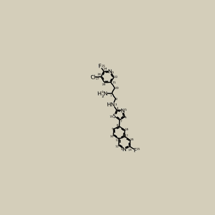 NC(CNc1ncc(-c2ccc3cnc(F)cc3c2)s1)Cc1cnc(F)c(Cl)c1